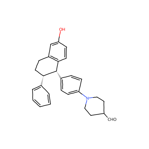 O=CC1CCN(c2ccc([C@H]3c4ccc(O)cc4CC[C@H]3c3ccccc3)cc2)CC1